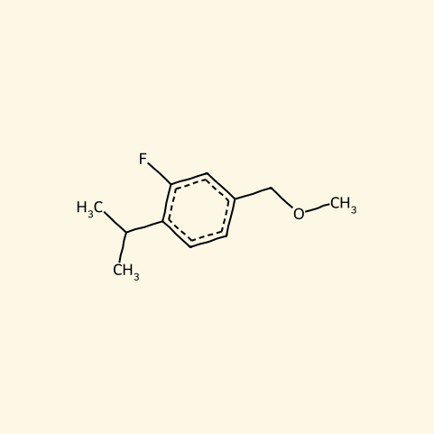 COCc1ccc(C(C)C)c(F)c1